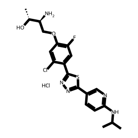 CC(C)Nc1ccc(-c2nnc(-c3cc(F)c(OC[C@H](N)[C@@H](C)O)cc3Cl)s2)cn1.Cl